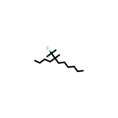 CCCCCCC(C)(CCCC)C(C)(C)F